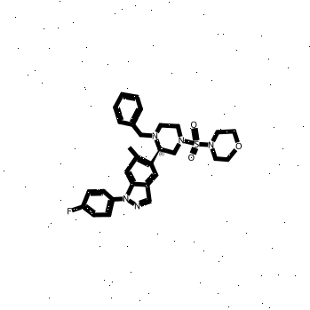 Cc1cc2c(cnn2-c2ccc(F)cc2)cc1[C@@H]1CN(S(=O)(=O)N2CCOCC2)CCN1Cc1ccccc1